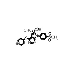 CC(C)(C)OC=O.CS(=O)(=O)c1ccc(-n2ncc3c(SC4CCNCC4)ncnc32)cc1